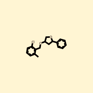 Cc1cccc(Cl)c1COC1COC(c2ccccc2)C1